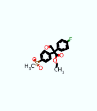 CCOC(=O)C(C=O)(c1ccc(F)cc1)c1ccc(S(C)(=O)=O)cc1